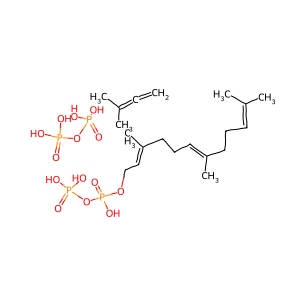 C=C=C(C)C.CC(C)=CCCC(C)=CCCC(C)=CCOP(=O)(O)OP(=O)(O)O.O=P(O)(O)OP(=O)(O)O